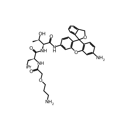 CC(C)C[C@H](NC(=O)COCCCN)C(=O)N[C@H](C(=O)Nc1ccc2c(c1)Oc1cc(N)ccc1C21OCc2ccccc21)[C@@H](C)O